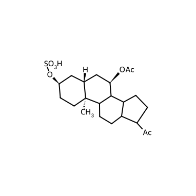 CC(=O)O[C@@H]1C[C@H]2C[C@H](OS(=O)(=O)O)CC[C@]2(C)C2CCC3C(C(C)=O)CCC3C21